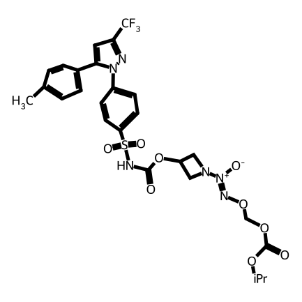 Cc1ccc(-c2cc(C(F)(F)F)nn2-c2ccc(S(=O)(=O)NC(=O)OC3CN([N+]([O-])=NOCOC(=O)OC(C)C)C3)cc2)cc1